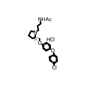 CC(=O)NCCCN1CCC[C@H]1COc1ccc(Oc2ccc(Cl)cc2)cc1.Cl